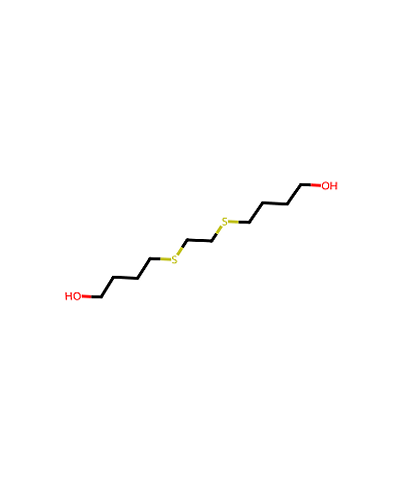 OCCCCSCCSCCCCO